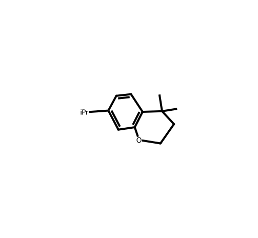 CC(C)c1ccc2c(c1)OCCC2(C)C